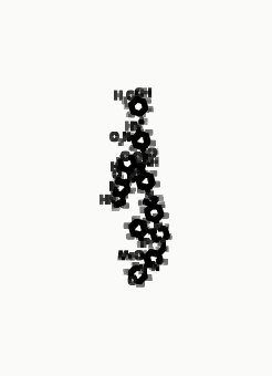 COc1cc(CN2CCN(C3CCC4(CC3)CN(c3ccc(C(=O)NS(=O)(=O)c5ccc(NC[C@H]6CC[C@](C)(O)CC6)c([N+](=O)[O-])c5)c(N5c6cc7cc[nH]c7nc6O[C@H]6COCC[C@@H]65)c3)C4)[C@H](c3ccccc3C(C)C)C2)cnc1N1CCOCC1